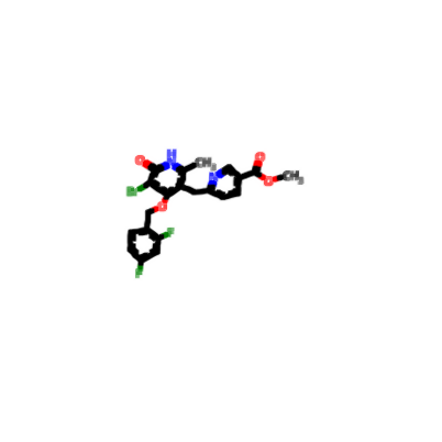 COC(=O)c1ccc(Cc2c(C)[nH]c(=O)c(Br)c2OCc2ccc(F)cc2F)nc1